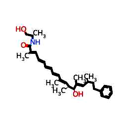 CC(/C=C/C=C/C=C/C=C(\C)C(=O)N[C@@H](C)CO)=C\[C@@H](C)[C@@H](O)/C(C)=C/[C@@H](C)CCc1ccccc1